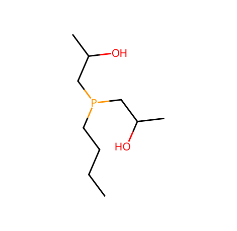 CCCCP(CC(C)O)CC(C)O